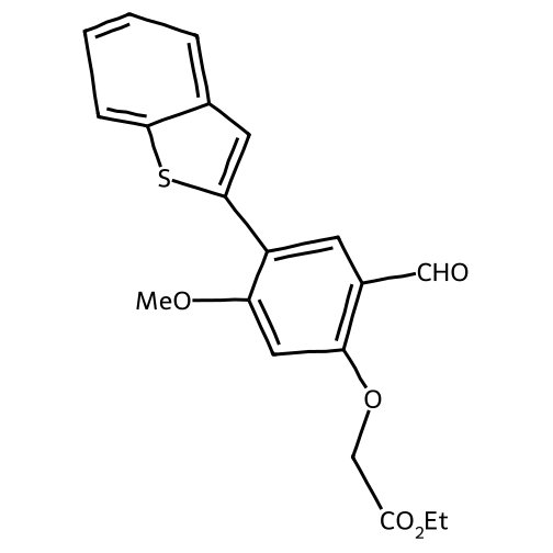 CCOC(=O)COc1cc(OC)c(-c2cc3ccccc3s2)cc1C=O